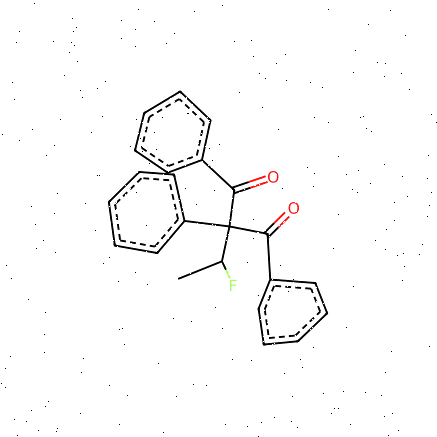 CC(F)C(C(=O)c1ccccc1)(C(=O)c1ccccc1)c1ccccc1